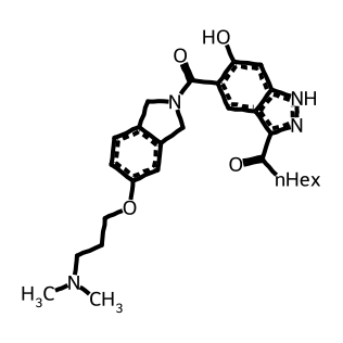 CCCCCCC(=O)c1n[nH]c2cc(O)c(C(=O)N3Cc4ccc(OCCCN(C)C)cc4C3)cc12